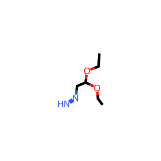 CCOC(CN=N)OCC